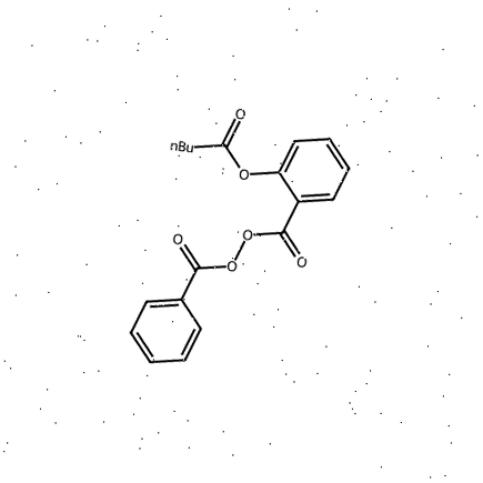 CCCCC(=O)Oc1ccccc1C(=O)OOC(=O)c1ccccc1